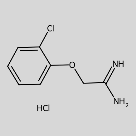 Cl.N=C(N)COc1ccccc1Cl